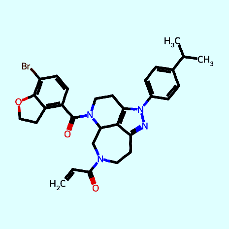 C=CC(=O)N1CCc2nn(-c3ccc(C(C)C)cc3)c3c2C(C1)N(C(=O)c1ccc(Br)c2c1CCO2)CC3